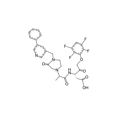 CC(C(=O)N[C@@H](CC(=O)O)C(=O)COc1c(F)c(F)cc(F)c1F)N1CCN(Cc2cncc(-c3ccccc3)c2)C(=O)C1